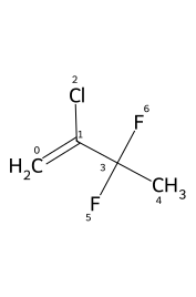 C=C(Cl)C(C)(F)F